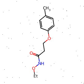 CCONC(=O)CCOc1ccc(C)cc1